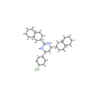 Clc1ccc(-c2cc(-c3ccc4ccccc4c3)nc(-c3ccc4ccccc4c3)n2)cc1